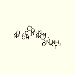 Cn1c(-c2cc3cccc(OCC(O)c4cnco4)c3n2CC2CC2)nc2cc3c(nc21)CCN(C[C@H](N)CF)C3=O